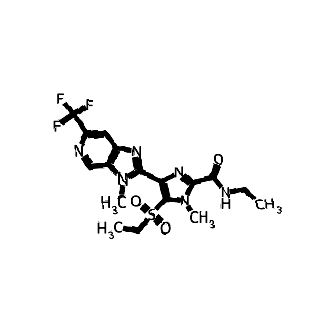 CCNC(=O)c1nc(-c2nc3cc(C(F)(F)F)ncc3n2C)c(S(=O)(=O)CC)n1C